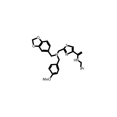 C=C(NCC(C)C)c1csc(CN(Cc2ccc(OC)cc2)Cc2ccc3c(c2)OCO3)n1